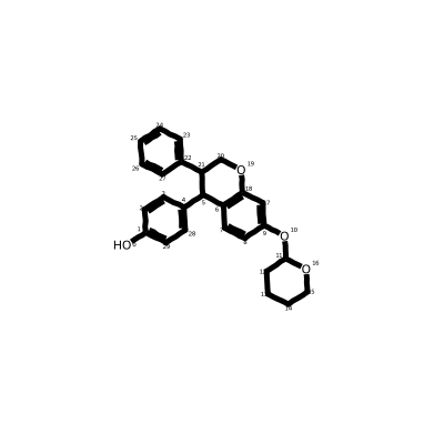 Oc1ccc(C2c3ccc(OC4CCCCO4)cc3OCC2c2ccccc2)cc1